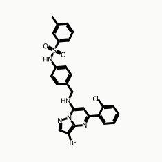 Cc1cccc(S(=O)(=O)Nc2ccc(CNc3cc(-c4ccccc4Cl)nc4c(Br)cnn34)cc2)c1